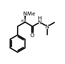 CN[C@H](Cc1ccccc1)C(=O)NN(C)C